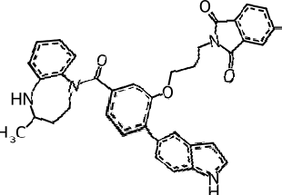 CC1CCN(C(=O)c2ccc(-c3ccc4[nH]ccc4c3)c(OCCCN3C(=O)c4ccccc4C3=O)c2)c2ccccc2N1